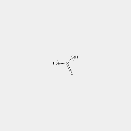 O=C([SeH])[SeH]